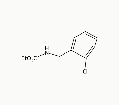 CCOC(=O)NCc1ccccc1Cl